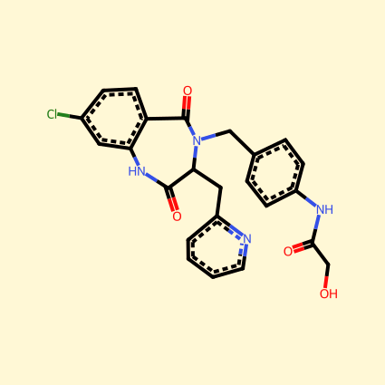 O=C(CO)Nc1ccc(CN2C(=O)c3ccc(Cl)cc3NC(=O)C2Cc2ccccn2)cc1